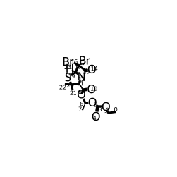 CCOC(=O)O[C@@H](C)OC(=O)[C@@H]1N2C(=O)C(Br)(Br)[C@H]2SC1(C)C